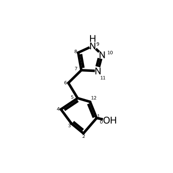 Oc1cccc(Cc2c[nH]nn2)c1